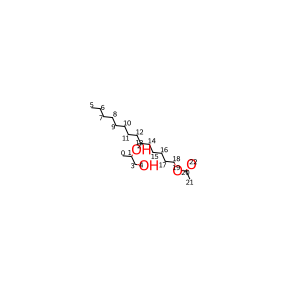 CC(O)CO.CCCCCCCCCCCCCCOC(C)=O